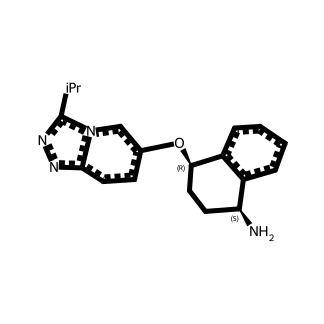 CC(C)c1nnc2ccc(O[C@@H]3CC[C@H](N)c4ccccc43)cn12